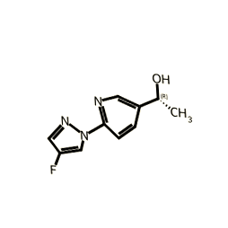 C[C@@H](O)c1ccc(-n2cc(F)cn2)nc1